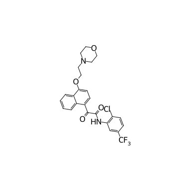 O=C(Nc1cc(C(F)(F)F)ccc1Cl)C(=O)c1ccc(OCCN2CCOCC2)c2ccccc12